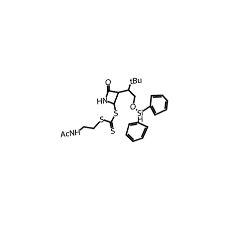 CC(=O)NCCSC(=S)SC1NC(=O)C1C(CO[SiH](c1ccccc1)c1ccccc1)C(C)(C)C